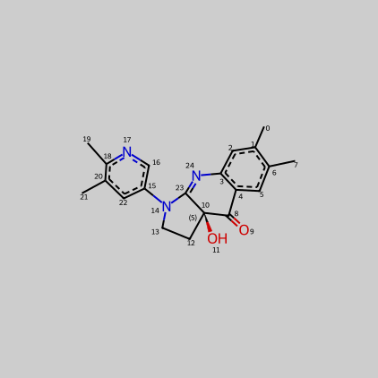 Cc1cc2c(cc1C)C(=O)[C@]1(O)CCN(c3cnc(C)c(C)c3)C1=N2